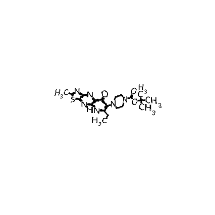 CCc1[nH]c2nc3sc(C)nc3nc2c(=O)c1N1CCN(C(=O)OC(C)(C)C)CC1